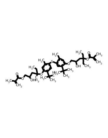 C=C(C)C(=O)OCC(O)CC(C)(CC)Oc1cc(C)c(Sc2cc(C(C)(C)C)c(OCC(O)CC(CC)(CC)OC(=O)C(=C)C)cc2C)cc1C(C)(C)C